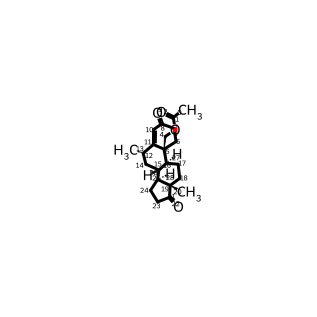 CC(=O)OC[C@]12CCC(=O)C=C1[C@@H](C)C[C@@H]1[C@@H]2CC[C@]2(C)C(=O)CC[C@@H]12